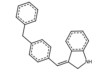 C(=C1\CNc2ccccc21)/c1ccc(Cc2ccccc2)cc1